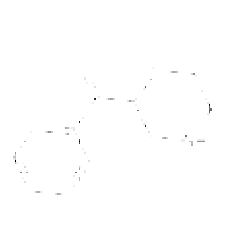 O=C(c1cc[c]cc1)C1CNCCO1